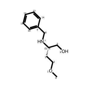 COCC[C@@H](CO)NCc1ccccc1